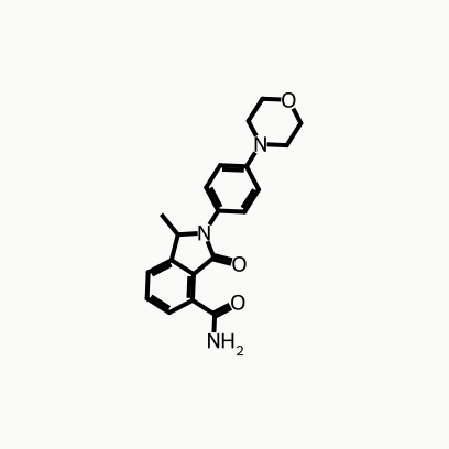 CC1c2cccc(C(N)=O)c2C(=O)N1c1ccc(N2CCOCC2)cc1